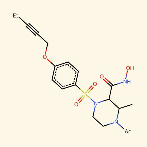 CCC#CCOc1ccc(S(=O)(=O)N2CCN(C(C)=O)C(C)C2C(=O)NO)cc1